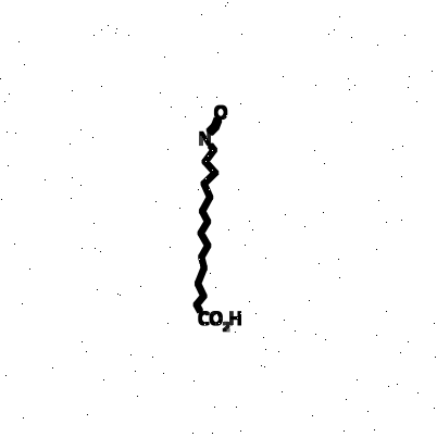 O=C=NCCCCCCCCCCCCCCC(=O)O